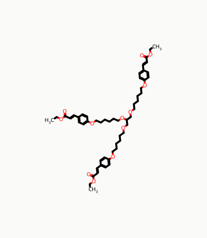 CCOC(=O)/C=C/c1ccc(OCCCCCCOCC(COCCCCCCOc2ccc(/C=C/C(=O)OCC)cc2)OCCCCCCOc2ccc(/C=C/C(=O)OCC)cc2)cc1